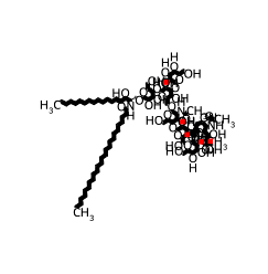 CCCCCCCCCCCCC/C=C/[C@@H](O)[C@H](CO[C@@H]1OC(CO)[C@@H](O[C@@H]2OC(CO[C@@H]3OC(CO)[C@@H](O[C@@H]4OC(CO)[C@H](O[C@@H]5OC(CO)[C@H](O)[C@H](O)C5NC(C)=O)[C@H](O[C@]5(C(=O)O)CC(O)[C@@H](NC(C)=O)C([C@H](O)[C@H](O)CO)O5)C4O)[C@H](O)C3NC(C)=O)[C@H](O)[C@H](O[C@H]3OC(CO)[C@H](O)[C@H](O)C3O)C2O)[C@H](O)C1O)NC(=O)CCCCCCCCCCCCCCCCCCCCCCCCC